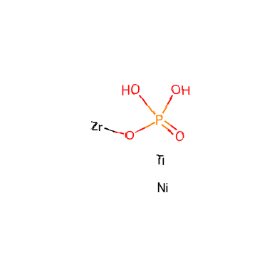 O=P(O)(O)[O][Zr].[Ni].[Ti]